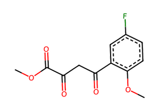 COC(=O)C(=O)CC(=O)c1cc(F)ccc1OC